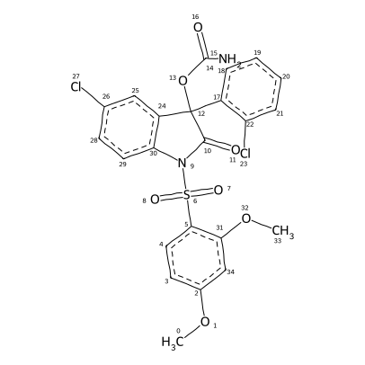 COc1ccc(S(=O)(=O)N2C(=O)C(OC(N)=O)(c3ccccc3Cl)c3cc(Cl)ccc32)c(OC)c1